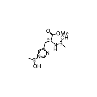 COC(=O)[C@H](Cc1cn(B(C)O)cn1)NB(C)O